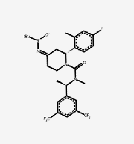 Cc1cc(F)ccc1[C@H]1CC(=N[S+]([O-])C(C)(C)C)CCN1C(=O)N(C)[C@H](C)c1cc(C(F)(F)F)cc(C(F)(F)F)c1